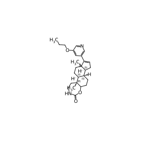 CCCOc1cncc(C2=CC[C@H]3[C@@H]4CCC5OC(=O)NCC[C@]5(C)[C@H]4CC[C@]23C)c1